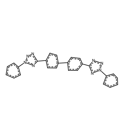 c1ccc(-n2nnc(-c3ccc(-c4ccc(-c5nnn(-c6ccccc6)n5)cc4)cc3)n2)cc1